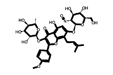 COc1ccc(-c2oc3c(CC=C(C)C)c(O[C@@H]4O[C@H](CO)[C@@H](O)[C@H](O)[C@H]4N=O)cc(O)c3c(=O)c2O[C@@H]2O[C@@H](C)[C@H](O)[C@@H](O)[C@H]2O)cc1